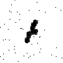 Cn1cc(-c2ccnc(OCC3CCOCC3)c2)c2sc(CN3CCN([S+](C)[O-])CC3)cc2c1=O